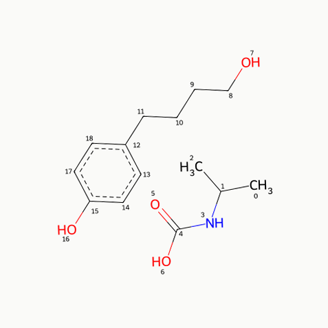 CC(C)NC(=O)O.OCCCCc1ccc(O)cc1